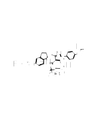 CS(=O)(=O)CC(=O)Nc1c2c(nn1-c1ccc(OC(F)F)cc1)C[C@]1(CCc3cc(OCC(F)(F)F)ccc31)NC2=O